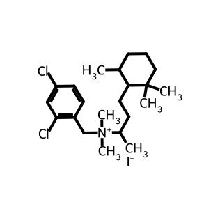 CC1CCCC(C)(C)C1CCC(C)[N+](C)(C)Cc1ccc(Cl)cc1Cl.[I-]